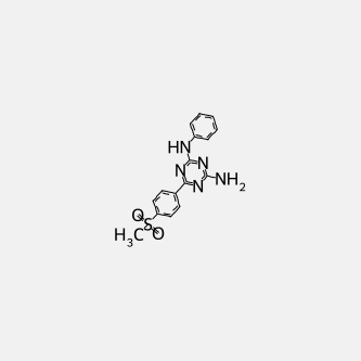 CS(=O)(=O)c1ccc(-c2nc(N)nc(Nc3ccccc3)n2)cc1